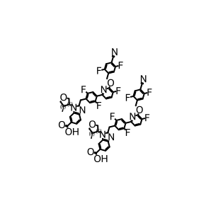 C[C@H]1COC[C@H]1n1c(Cc2cc(F)c(-c3ccc(F)c(OCc4cc(F)c(C#N)cc4F)n3)cc2F)nc2ccc(C(=O)O)cc21.C[C@H]1COC[C@H]1n1c(Cc2cc(F)c(-c3ccc(F)c(OCc4cc(F)c(C#N)cc4F)n3)cc2F)nc2ccc(C(=O)O)cc21